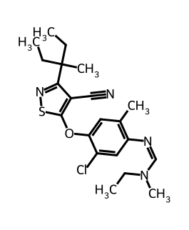 CCN(C)/C=N\c1cc(Cl)c(Oc2snc(C(C)(CC)CC)c2C#N)cc1C